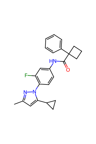 Cc1cc(C2CC2)n(-c2ccc(NC(=O)C3(c4ccccc4)CCC3)cc2F)n1